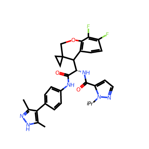 Cc1n[nH]c(C)c1-c1ccc(NC(=O)[C@@H](NC(=O)c2ccnn2C(C)C)C2c3ccc(F)c(F)c3OCC23CC3)cc1